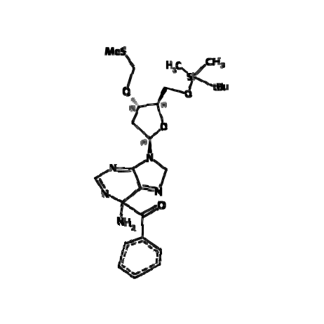 CSCO[C@H]1C[C@H](N2CN=C3C2=NC=NC3(N)C(=O)c2ccccc2)O[C@@H]1CO[Si](C)(C)C(C)(C)C